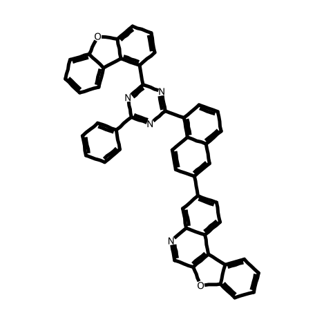 c1ccc(-c2nc(-c3cccc4cc(-c5ccc6c(c5)ncc5oc7ccccc7c56)ccc34)nc(-c3cccc4oc5ccccc5c34)n2)cc1